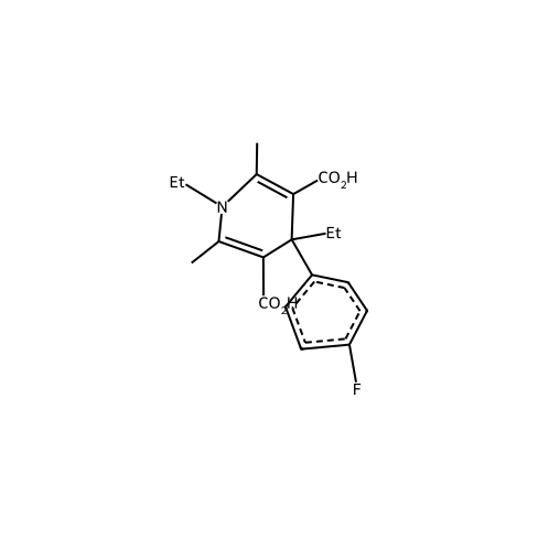 CCN1C(C)=C(C(=O)O)C(CC)(c2ccc(F)cc2)C(C(=O)O)=C1C